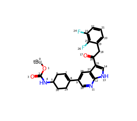 CC(C)(C)OC(=O)NC1CC=C(c2cnc3[nH]cc(C(=O)Cc4cccc(F)c4F)c3c2)CC1